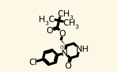 CC(C)(C)C(=O)OC[C@@H]1CNCC(=O)N1c1ccc(Cl)cc1